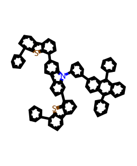 c1ccc(-c2c3ccccc3c(-c3ccccc3)c3cc(-c4cccc(-n5c6cc(-c7cccc8c7sc7c(-c9ccccc9)cccc78)ccc6c6ccc(-c7cccc8c7sc7c(-c9ccccc9)cccc78)cc65)c4)ccc23)cc1